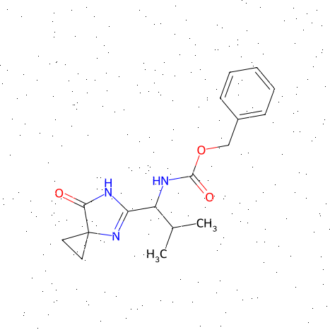 CC(C)C(NC(=O)OCc1ccccc1)C1=NC2(CC2)C(=O)N1